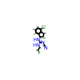 N#CN=C(NCCF)NC1CCc2c(Cl)cccc21